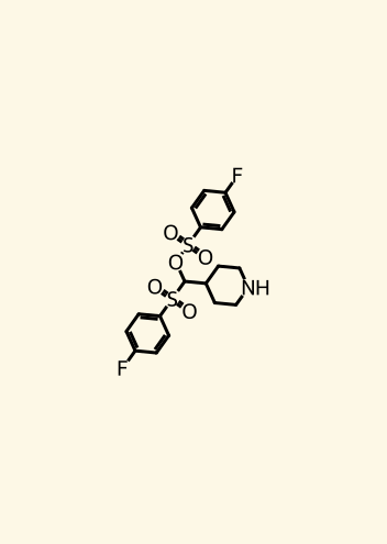 O=S(=O)(OC(C1CCNCC1)S(=O)(=O)c1ccc(F)cc1)c1ccc(F)cc1